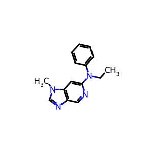 CCN(c1ccccc1)c1cc2c(cn1)ncn2C